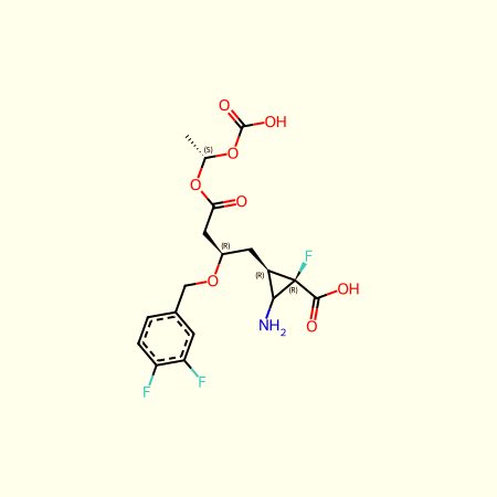 C[C@H](OC(=O)O)OC(=O)C[C@@H](C[C@@H]1C(N)[C@@]1(F)C(=O)O)OCc1ccc(F)c(F)c1